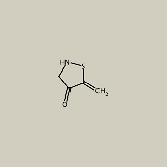 C=C1SNCC1=O